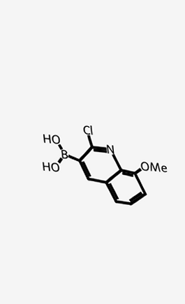 COc1cccc2cc(B(O)O)c(Cl)nc12